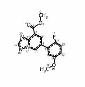 COC(=O)c1cc(-c2cc(OC)ccc2F)cn2ncnc12